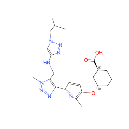 Cc1nc(-c2nnn(C)c2CNc2cn(CC(C)C)nn2)ccc1O[C@H]1CCC[C@H](C(=O)O)C1